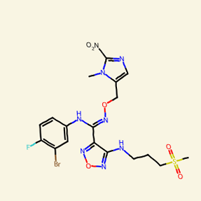 Cn1c(CO/N=C(\Nc2ccc(F)c(Br)c2)c2nonc2NCCCS(C)(=O)=O)cnc1[N+](=O)[O-]